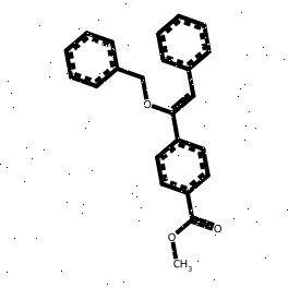 COC(=O)c1ccc(C(=Cc2ccccc2)OCc2ccccc2)cc1